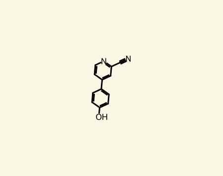 N#Cc1cc(-c2ccc(O)cc2)ccn1